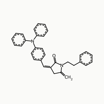 C=C1C/C(=C/c2ccc(N(c3ccccc3)c3ccccc3)cc2)C(=O)N1CCc1ccccc1